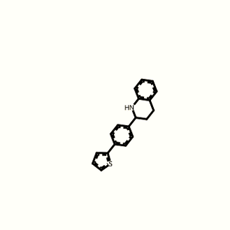 c1csc(-c2ccc(C3CCc4ccccc4N3)cc2)c1